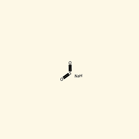 O=S=O.[NaH]